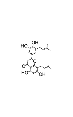 CC(C)=CCc1cc(C2CC(=O)c3c(O)cc(O)c(CC=C(C)C)c3O2)cc(O)c1O